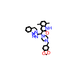 Cc1ccc(C)c2[nH]c(=O)c(C(c3nnnn3CCc3ccccc3)N3CCN(Cc4ccc5c(c4)OCO5)CC3)cc12